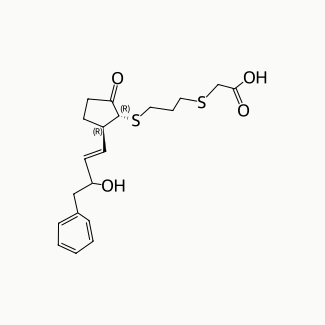 O=C(O)CSCCCS[C@H]1C(=O)CC[C@@H]1C=CC(O)Cc1ccccc1